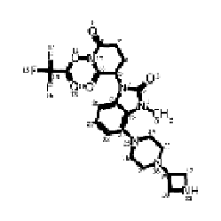 Cn1c(=O)n(C2CCC(=O)N(OC(=O)C(F)(F)F)C2=O)c2cccc(N3CCN(C4CNC4)CC3)c21